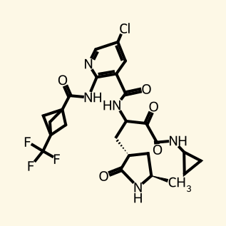 C[C@@H]1C[C@@H](CC(NC(=O)c2cc(Cl)cnc2NC(=O)C23CC(C(F)(F)F)(C2)C3)C(=O)C(=O)NC2CC2)C(=O)N1